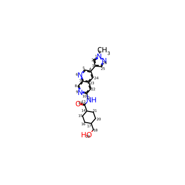 Cn1cc(-c2cnc3cnc(NC(=O)C4CCC(CO)CC4)cc3c2)cn1